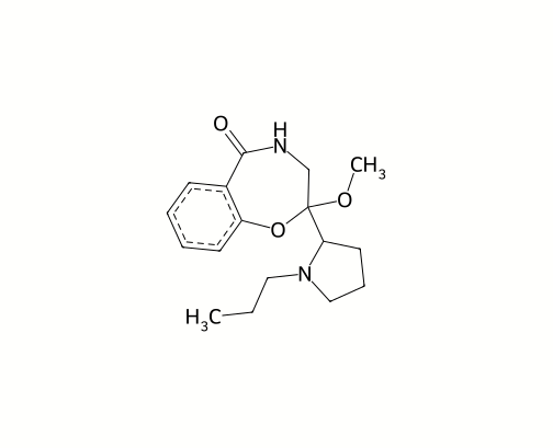 CCCN1CCCC1C1(OC)CNC(=O)c2ccccc2O1